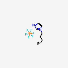 CC(C)CCC[n+]1cc[nH]c1.F[P-](F)(F)(F)(F)F